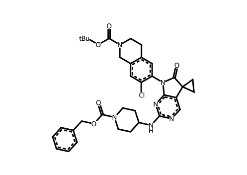 CC(C)(C)OC(=O)N1CCc2cc(N3C(=O)C4(CC4)c4cnc(NC5CCN(C(=O)OCc6ccccc6)CC5)nc43)c(Cl)cc2C1